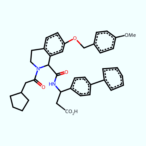 COc1ccc(COc2ccc3c(c2)C(C(=O)NC(CC(=O)O)c2ccc(-c4ccccc4)cc2)N(C(=O)CC2CCCC2)CC3)cc1